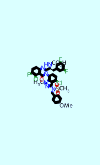 COc1ccc(CN(c2nn(C)c3c(-n4c([C@H](Cc5cc(F)cc(F)c5)NC(=O)O)nc5ccc(F)c(Cl)c5c4=O)ccc(Cl)c23)S(C)(=O)=O)cc1